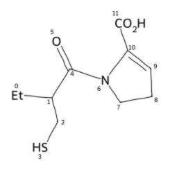 CCC(CS)C(=O)N1CCC=C1C(=O)O